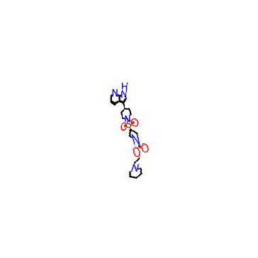 O=C(OCCN1CCCCC1)N1CC(S(=O)(=O)N2CCC(c3c[nH]c4ncccc34)CC2)C1